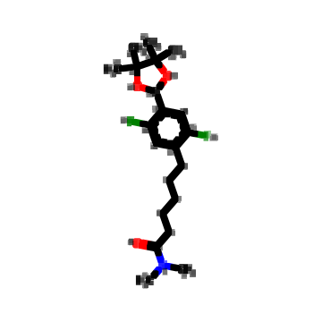 CN(C)C(=O)CCCCCc1cc(F)c(B2OC(C)(C)C(C)(C)O2)cc1F